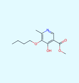 CCCCOc1c(C)ncc(C(=O)OC)c1O